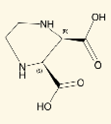 O=C(O)[C@H]1NCCN[C@H]1C(=O)O